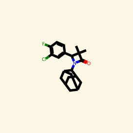 CC1(C)C(=O)N(C2C3CC4CC(C3)CC2C4)C1c1ccc(F)c(Cl)c1